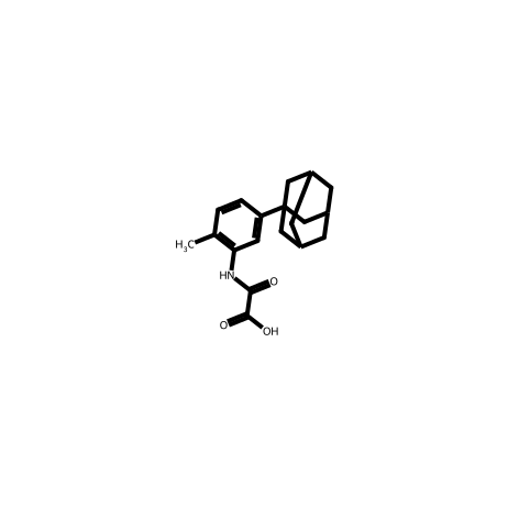 Cc1ccc(C23CC4CC(CC(C4)C2)C3)cc1NC(=O)C(=O)O